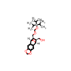 CC(C)[Si](OCOC[C@H]1[C@@H](CO)[C@@H]2O[C@H]1c1cc3c(cc12)OCO3)(C(C)C)C(C)C